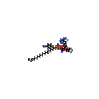 CCCCCCCCCCCCCCCC[C@H](COP(=O)(O)OC[C@@]1(C#N)O[C@@H](c2ccc3c(N)ncnn23)[C@@H]2OC(C)(C)O[C@@H]21)Oc1ccc(C#N)cn1